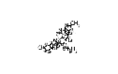 Cc1cc2c(cn1)SC(C(=O)N1C(CC(N)=O)CN(S(=O)(=O)c3cc4cc(Cl)ccc4[nH]3)CC1CC(N)=O)=[N+]2.[I-]